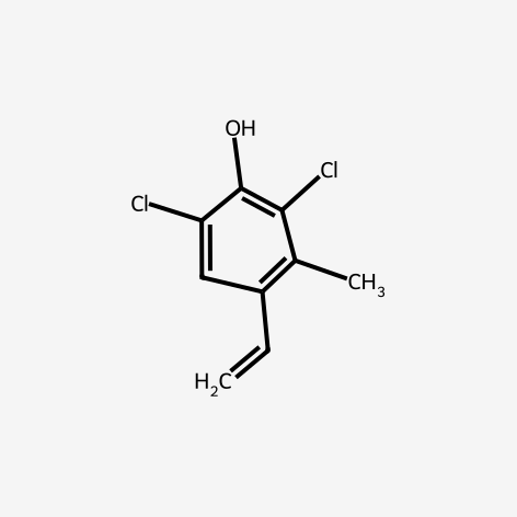 C=Cc1cc(Cl)c(O)c(Cl)c1C